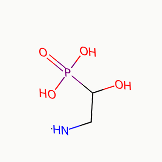 [NH]CC(O)P(=O)(O)O